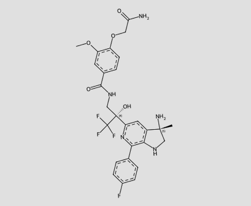 COc1cc(C(=O)NC[C@@](O)(c2cc3c(c(-c4ccc(F)cc4)n2)NC[C@@]3(C)N)C(F)(F)F)ccc1OCC(N)=O